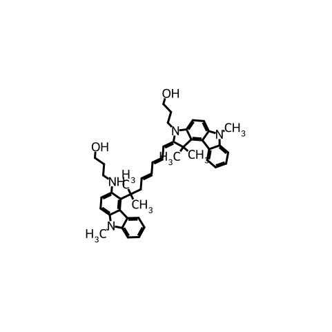 Cn1c2ccccc2c2c(C(C)(C)C/C=C/C=C/C=C3/N(CCCO)c4ccc5c(c4C3(C)C)c3ccccc3n5C)c(NCCCO)ccc21